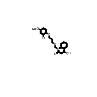 COc1ccc(OCCCOCn2c(=O)cc(O)c3ccccc32)c(Cl)c1